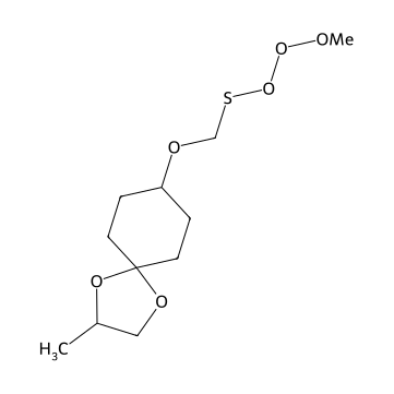 COOOSCOC1CCC2(CC1)OCC(C)O2